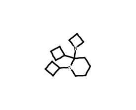 C1CC(N2CCCCC2(C2CCC2)N2CCC2)C1